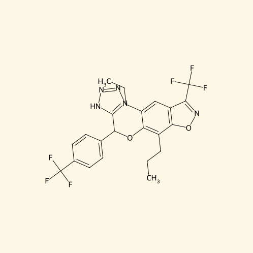 CCCc1cc2c(C(F)(F)F)noc2c(CCC)c1OC(c1ccc(C(F)(F)F)cc1)c1nnn[nH]1